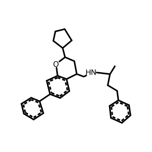 CC(CCc1ccccc1)NCC1CC(C2CCCC2)Oc2cc(-c3ccccc3)ccc21